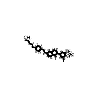 CCCCCCc1ccc(CCc2ccc3c(F)c(-c4cc(F)c(OC(F)F)c(F)c4)ccc3c2)cc1